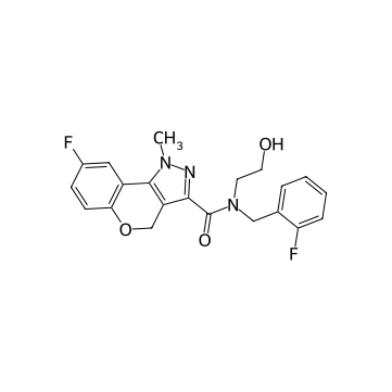 Cn1nc(C(=O)N(CCO)Cc2ccccc2F)c2c1-c1cc(F)ccc1OC2